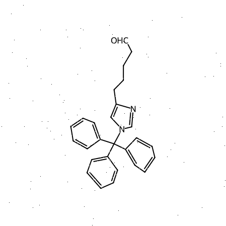 O=CCCCCc1cn(C(c2ccccc2)(c2ccccc2)c2ccccc2)cn1